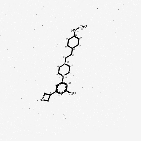 CC(C)(C)c1nc(C2COC2)cc(N2CCN(CCC3CCC(NC=O)CC3)CC2)n1